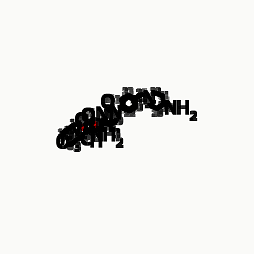 CC(C)(N)C(=O)N1C2COCC1CN(C(=O)Nc1ccn(-c3ccc(CN4CCC(N)CC4)cc3)c(=O)n1)C2